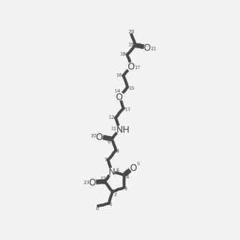 CCC1CC(=O)N(CCC(=O)NCCOCCOCC(C)=O)C1=O